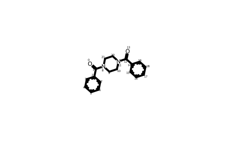 O=C(c1ccccc1)N1CCN(C(=O)c2ccccc2)CC1